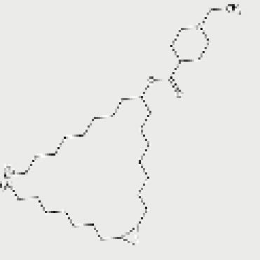 CCCCCCCCCC(CCCCCCCC1CC1CCCCCCCC)OC(=O)C1CCN(CC)CC1